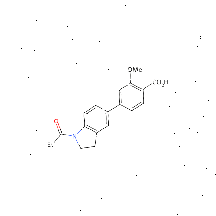 CCC(=O)N1CCc2cc(-c3ccc(C(=O)O)c(OC)c3)ccc21